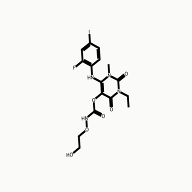 CCn1c(=O)c(OC(=O)NOCCO)c(Nc2ccc(I)cc2F)n(C)c1=O